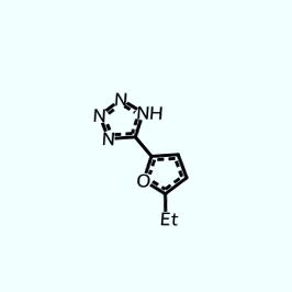 CCc1ccc(-c2nnn[nH]2)o1